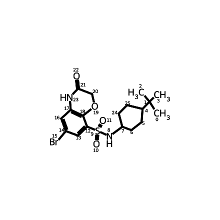 CC(C)(C)C1CCC(NS(=O)(=O)c2cc(Br)cc3c2OCC(=O)N3)CC1